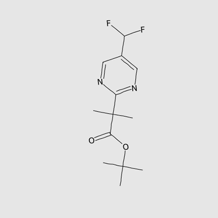 CC(C)(C)OC(=O)C(C)(C)c1ncc(C(F)F)cn1